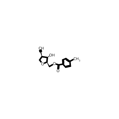 C#C[C@@H]1CO[C@H](COC(=O)c2ccc(C)cc2)[C@H]1O